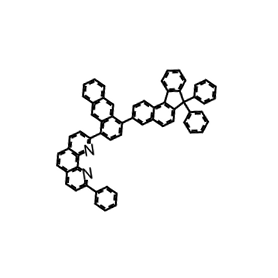 c1ccc(-c2ccc3ccc4ccc(-c5ccc(-c6ccc7c8c(ccc7c6)C(c6ccccc6)(c6ccccc6)c6ccccc6-8)c6cc7ccccc7cc56)nc4c3n2)cc1